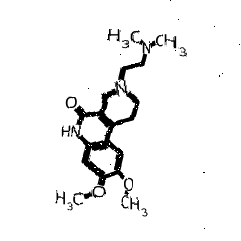 COc1cc2[nH]c(=O)c3c(c2cc1OC)CCN(CCN(C)C)C3